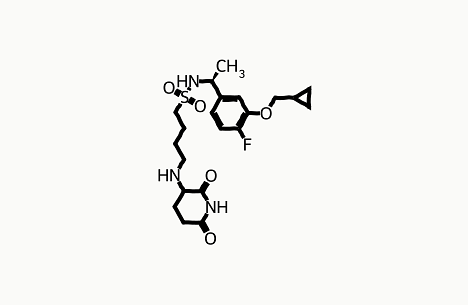 C[C@H](NS(=O)(=O)CCCCNC1CCC(=O)NC1=O)c1ccc(F)c(OCC2CC2)c1